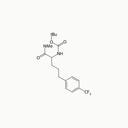 CNC(=O)C(CCCc1ccc(C(F)(F)F)cc1)NC(=O)OC(C)(C)C